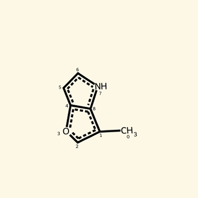 Cc1coc2cc[nH]c12